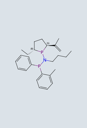 C=C(C)[C@@H]1CC[C@@H](CC)P1N(CCCC)P(c1ccccc1)c1ccccc1C